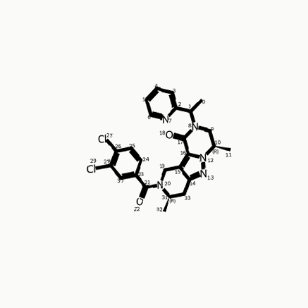 CC(c1ccccn1)N1C[C@@H](C)n2nc3c(c2C1=O)CN(C(=O)c1ccc(Cl)c(Cl)c1)[C@H](C)C3